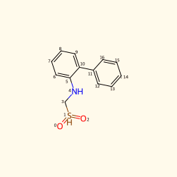 O=[SH](=O)CNc1ccccc1-c1cc[c]cc1